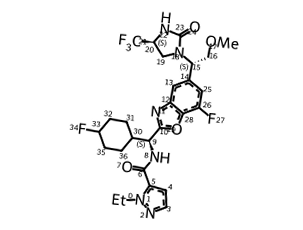 CCn1nccc1C(=O)N[C@H](c1nc2cc([C@@H](COC)N3C[C@@H](C(F)(F)F)NC3=O)cc(F)c2o1)C1CCC(F)CC1